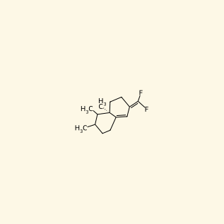 CC1CCC2=CC(=C(F)F)CC[C@]2(C)C1C